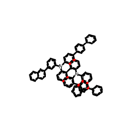 c1ccc(-c2ccc(-c3ccc(N(c4cccc(-c5ccc6ccccc6c5)c4)c4ccccc4-c4ccccc4N(c4ccccc4-c4ccc(-c5ccccc5)cc4)c4cccc5oc6ccccc6c45)cc3)cc2)cc1